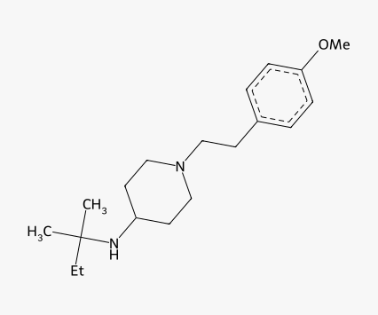 CCC(C)(C)NC1CCN(CCc2ccc(OC)cc2)CC1